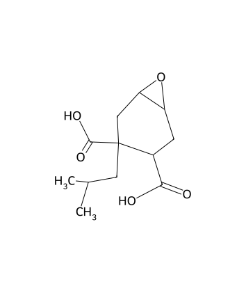 CC(C)CC1(C(=O)O)CC2OC2CC1C(=O)O